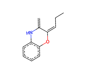 C=C1Nc2ccccc2O/C1=C/CC